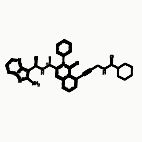 C[C@H](NC(=O)c1c(N)nn2cccnc12)c1cc2cccc(C#CCNC(=O)C3CCCCC3)c2c(=O)n1-c1ccccc1